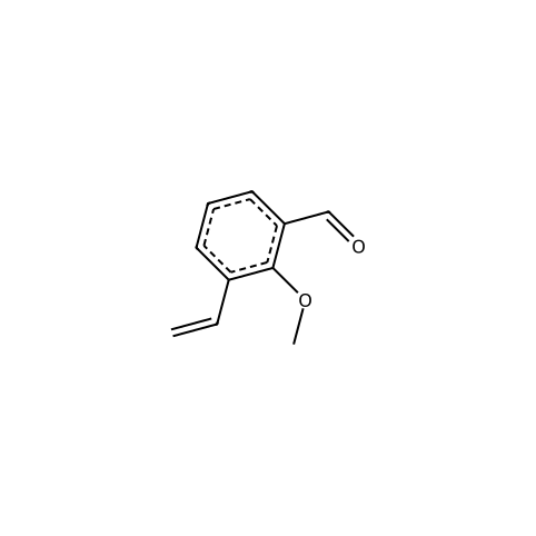 C=Cc1cccc(C=O)c1OC